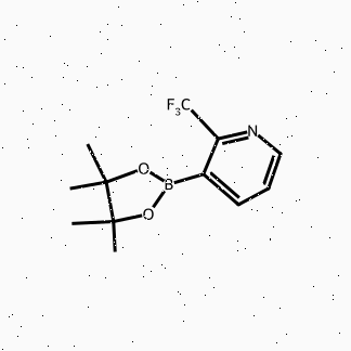 CC1(C)OB(c2cccnc2C(F)(F)F)OC1(C)C